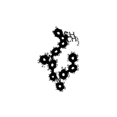 CC1(C)c2ccccc2-c2cc(-c3ccc(-n4c5ccccc5c5cc(-c6cccc(N(c7ccccc7)c7ccc(-c8cccc(-c9ccccc9)c8)cc7)c6)ccc54)cc3)ccc21